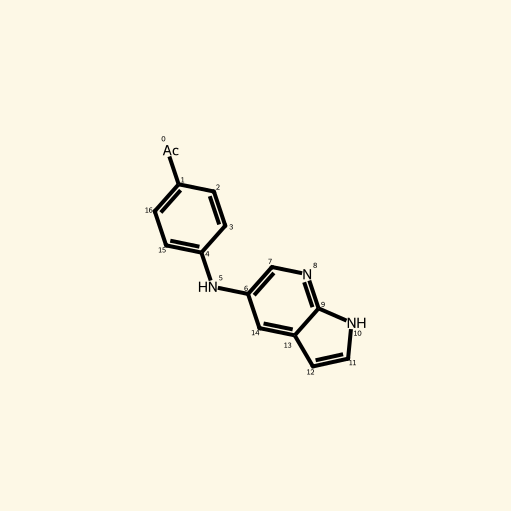 CC(=O)c1ccc(Nc2cnc3[nH]ccc3c2)cc1